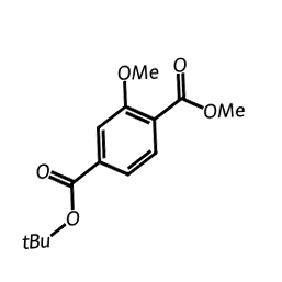 COC(=O)c1ccc(C(=O)OC(C)(C)C)cc1OC